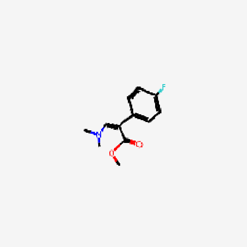 COC(=O)C(=CN(C)C)c1ccc(F)cc1